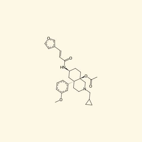 COc1cccc([C@@]23CCN(CC4CC4)C[C@@]2(OC(C)=O)CC[C@H](NC(=O)C=Cc2ccoc2)C3)c1